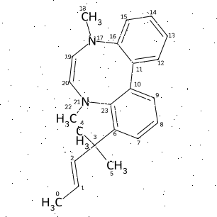 CC=CC(C)(C)c1cccc2c3ccccc3n(C)ccn(C)c12